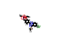 CCOP(=O)(Cc1ccc(-c2nc(SCC)c3cc(Br)ccc3n2)cc1)OCC